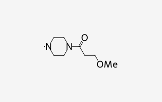 COCCC(=O)N1CC[N]CC1